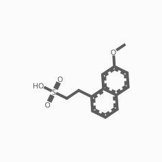 COc1ccc2cccc(CCS(=O)(=O)O)c2c1